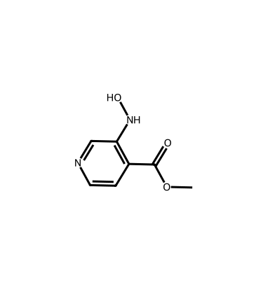 COC(=O)c1ccncc1NO